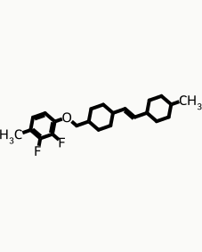 Cc1ccc(OCC2CCC(/C=C/C3CCC(C)CC3)CC2)c(F)c1F